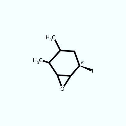 CC1C[C@@H](I)C2OC2C1C